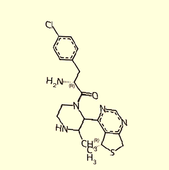 CC1NCCN(C(=O)[C@H](N)Cc2ccc(Cl)cc2)C1c1ncnc2c1[C@@H](C)SC2